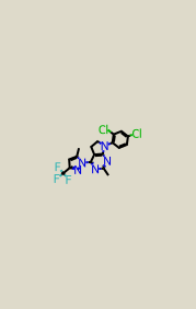 Cc1nc2c(c(-n3nc(C(F)(F)F)cc3C)n1)CCN2c1ccc(Cl)cc1Cl